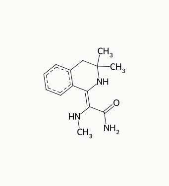 CN/C(C(N)=O)=C1/NC(C)(C)Cc2ccccc21